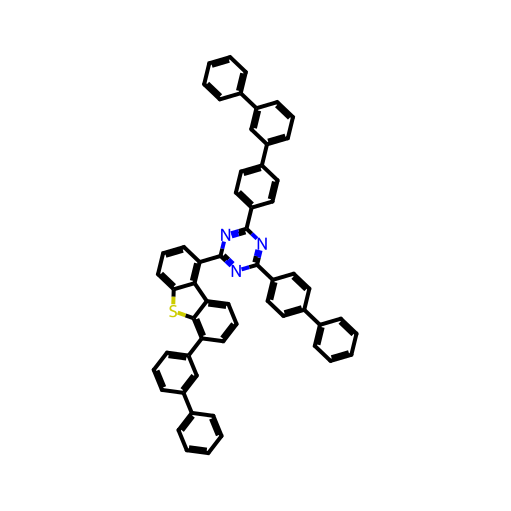 c1ccc(-c2ccc(-c3nc(-c4ccc(-c5cccc(-c6ccccc6)c5)cc4)nc(-c4cccc5sc6c(-c7cccc(-c8ccccc8)c7)cccc6c45)n3)cc2)cc1